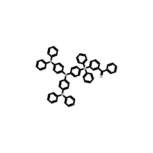 O=C(c1ccccc1)c1cccc([Si](c2ccccc2)(c2ccccc2)c2ccc(N(c3ccc(N(c4ccccc4)c4ccccc4)cc3)c3ccc(N(c4ccccc4)c4ccccc4)cc3)cc2)c1